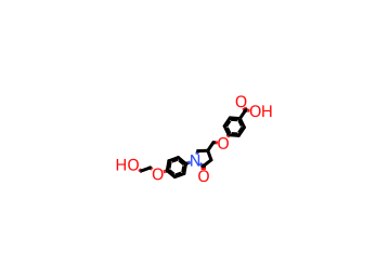 O=C(O)c1ccc(OCC2CC(=O)N(c3ccc(OCCO)cc3)C2)cc1